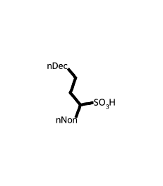 CCCCCCCCCCCCC(CCCCCCCCC)S(=O)(=O)O